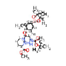 COC(=O)[C@@H]1CCCN(C(=O)[C@H](Cc2cc(C)cc(B3OC(C)(C)C(C)(C)O3)c2)NC(=O)OC(C)(C)C)N1